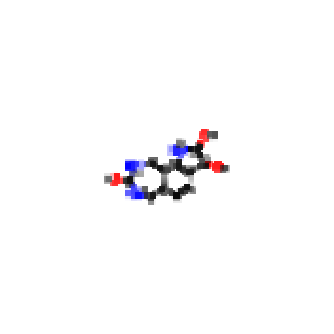 O=C1NCc2ccc3c(c2CN1)NC(=O)C3=O